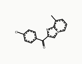 Cc1cccn2cc(C(=O)c3ccc(Cl)cc3)nc12